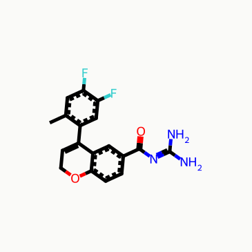 Cc1cc(F)c(F)cc1C1=CCOc2ccc(C(=O)N=C(N)N)cc21